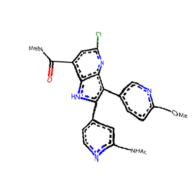 CNC(=O)c1cc(Cl)nc2c(-c3ccc(OC)nc3)c(-c3ccnc(NC(C)=O)c3)[nH]c12